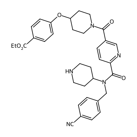 CCOC(=O)c1ccc(OC2CCN(C(=O)c3ccc(C(=O)N(Cc4ccc(C#N)cc4)C4CCNCC4)nc3)CC2)cc1